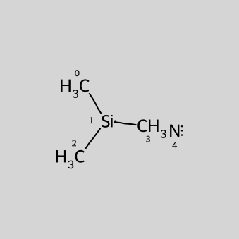 C[Si](C)C.[N]